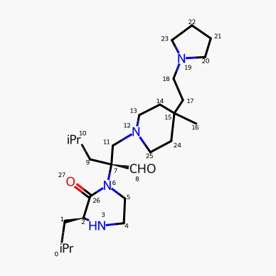 CC(C)C[C@@H]1NCCN([C@](C=O)(CC(C)C)CN2CCC(C)(CCN3CCCC3)CC2)C1=O